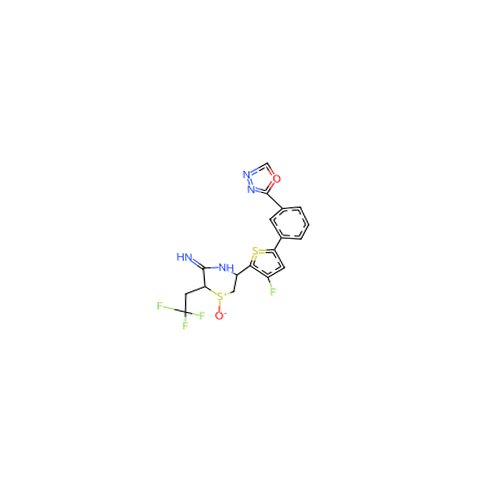 N=C1NC(c2sc(-c3cccc(-c4nnco4)c3)cc2F)C[S+]([O-])C1CC(F)(F)F